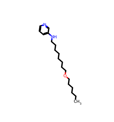 CCCCCCOCCCCCCCCNc1cccnc1